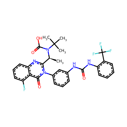 C[C@@H](c1nc2cccc(F)c2c(=O)n1-c1cccc(NC(=O)Nc2ccccc2C(F)(F)F)c1)N(C(=O)O)C(C)(C)C